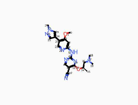 COc1cc(Nc2ncc(C#N)c(O[C@H](C)CN(C)C)n2)ncc1-c1cnn(C)c1